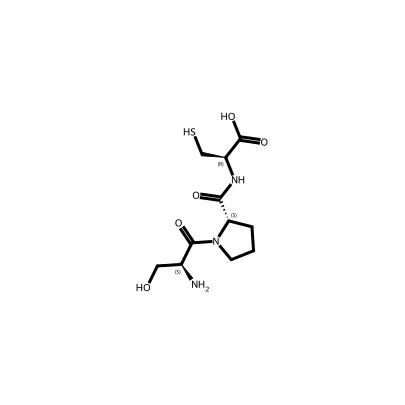 N[C@@H](CO)C(=O)N1CCC[C@H]1C(=O)N[C@@H](CS)C(=O)O